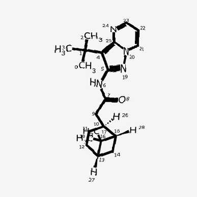 CC(C)(C)c1c(NC(=O)C[C@@H]2CC[C@H]3C[C@@H]2C3(C)C)nn2cccnc12